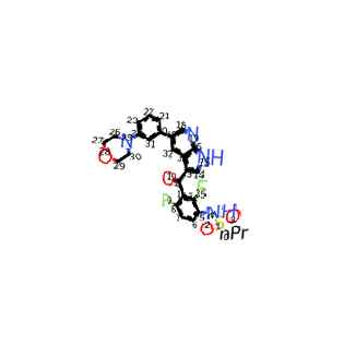 CCCS(=O)(=O)Nc1ccc(F)c(C(=O)c2c[nH]c3ncc(-c4cccc(N5CCOCC5)c4)cc23)c1F